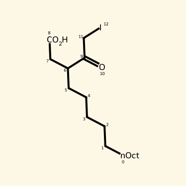 CCCCCCCCCCCCCC(CC(=O)O)C(=O)CI